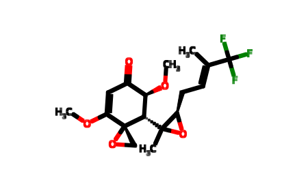 COC1=CC(=O)[C@@H](OC)[C@H](C2(C)O[C@@H]2C/C=C(\C)C(F)(F)F)[C@@]12CO2